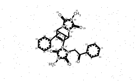 Cn1c(=O)n(CC(=O)c2ccccc2)n(C2C(c3ccccc3)C3C=CC2n2c(=O)n(C)c(=O)n23)c1=O